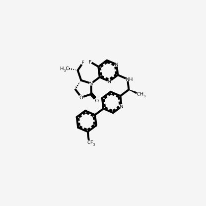 C[C@H](Nc1ncc(F)c(N2C(=O)OC[C@@H]2[C@H](C)F)n1)c1ccc(-c2cccc(C(F)(F)F)c2)cn1